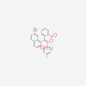 Cc1ccc(-c2oc(=O)c3ccccc3c2-c2c(O)ccc3ccc(Br)cc23)nc1